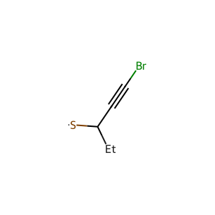 CCC([S])C#CBr